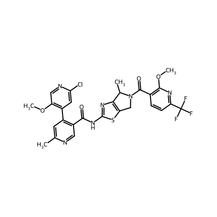 COc1cnc(Cl)cc1-c1cc(C)ncc1C(=O)Nc1nc2c(s1)CN(C(=O)c1ccc(C(F)(F)F)nc1OC)C2C